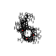 CCC(C)CC1NC(=O)C(CCCN)NC(=O)C(C(C)O)NC(=O)C(NC(=O)C(NC(=O)C(O)C(O)C(NC(=O)CNC(=O)C(C)C(O)C(C)CC(C)CC(C)C)C(C)O)C(C)C(C)C(N)=O)C(C)OC(=O)C2CCCCN2C(=O)C(CC(N)=O)NC(=O)C(C(OC)C(N)=O)NC(=O)C(CCC(N)=O)N(C)C1=O